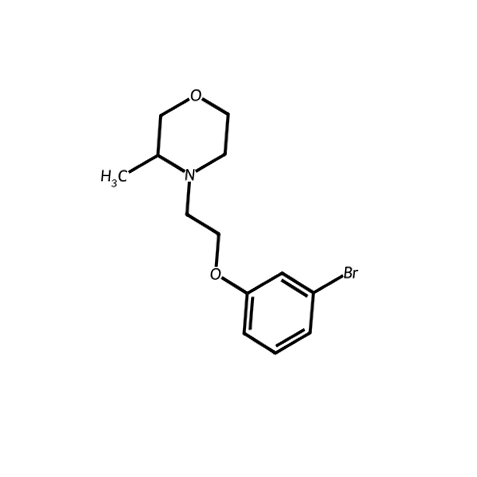 CC1COCCN1CCOc1cccc(Br)c1